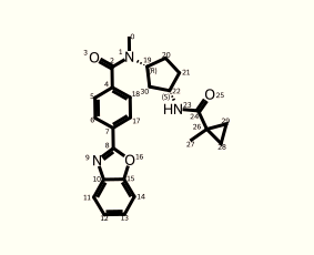 CN(C(=O)c1ccc(-c2nc3ccccc3o2)cc1)[C@@H]1CC[C@H](NC(=O)C2(C)CC2)C1